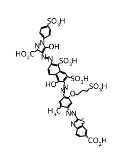 Cc1cc(N=Nc2c(S(=O)(=O)O)cc3c(S(=O)(=O)O)c(N=Nc4c(C(=O)O)nn(-c5ccc(S(=O)(=O)O)cc5)c4O)ccc3c2O)c(OCCCS(=O)(=O)O)cc1N=Nc1nc2ccc(C(=O)O)cc2s1